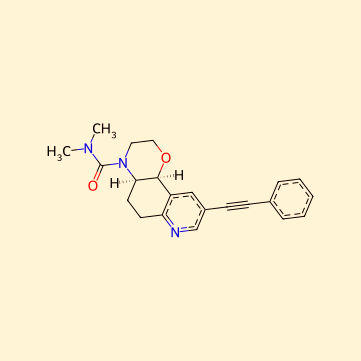 CN(C)C(=O)N1CCO[C@H]2c3cc(C#Cc4ccccc4)cnc3CC[C@H]21